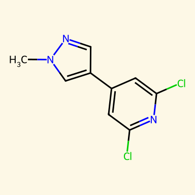 Cn1cc(-c2cc(Cl)nc(Cl)c2)cn1